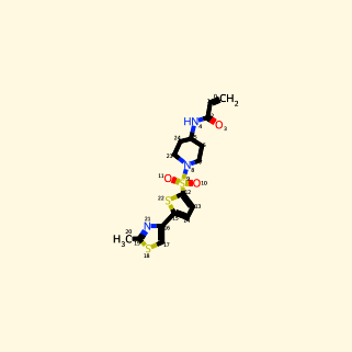 C=CC(=O)NC1CCN(S(=O)(=O)c2ccc(-c3csc(C)n3)s2)CC1